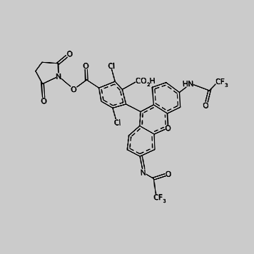 O=C(ON1C(=O)CCC1=O)c1cc(Cl)c(-c2c3cc/c(=N/C(=O)C(F)(F)F)cc-3oc3cc(NC(=O)C(F)(F)F)ccc23)c(C(=O)O)c1Cl